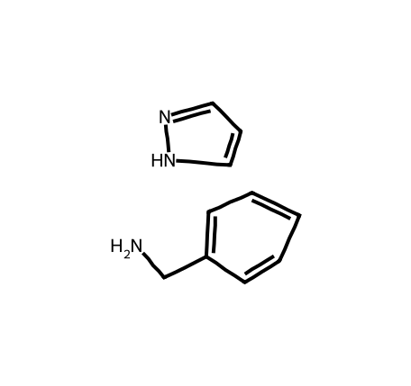 NCc1ccccc1.c1cn[nH]c1